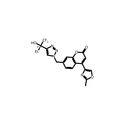 CC[C@](O)(c1cn(Cc2ccc3c(-c4coc(C)n4)cc(=O)oc3c2)nn1)C(F)(F)F